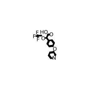 O=C(O)C(OCC(F)(F)F)c1ccc(Oc2cccnc2)cc1